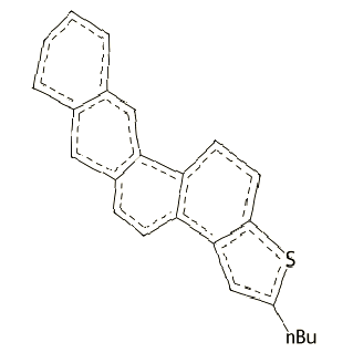 CCCCc1cc2c(ccc3c4cc5ccccc5cc4ccc23)s1